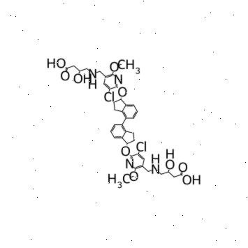 COc1nc(O[C@H]2CCc3c(-c4cccc5c4CC[C@@H]5Oc4nc(OC)c(CNC[C@@H](O)CC(=O)O)cc4Cl)cccc32)c(Cl)cc1CNC[C@@H](O)CC(=O)O